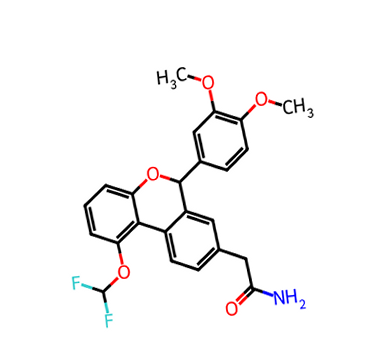 COc1ccc(C2Oc3cccc(OC(F)F)c3-c3ccc(CC(N)=O)cc32)cc1OC